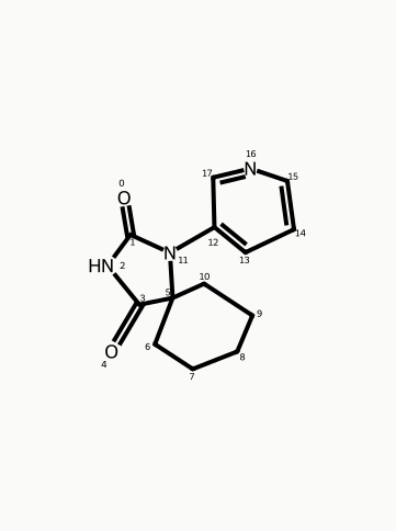 O=C1NC(=O)C2(CCCCC2)N1c1cccnc1